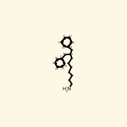 NCCCCCCCC(Cc1ccccc1)Cc1ccccc1